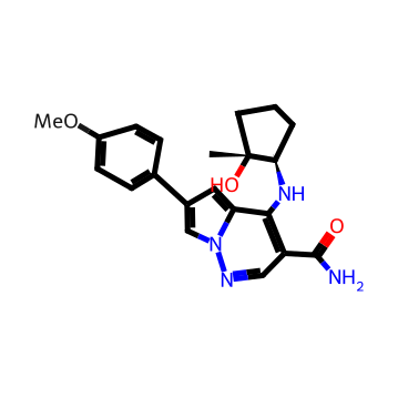 COc1ccc(-c2cc3c(N[C@@H]4CCC[C@@]4(C)O)c(C(N)=O)cnn3c2)cc1